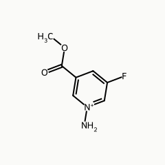 COC(=O)c1cc(F)c[n+](N)c1